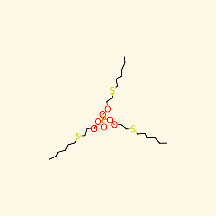 CCCCCCSCCOOP(=O)(OOCCSCCCCCC)OOCCSCCCCCC